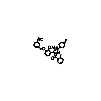 COc1c(OCc2cccc(C(C)=O)c2)cccc1C1SC(c2ccc(F)cc2)=NN1C(=O)c1ccccc1C